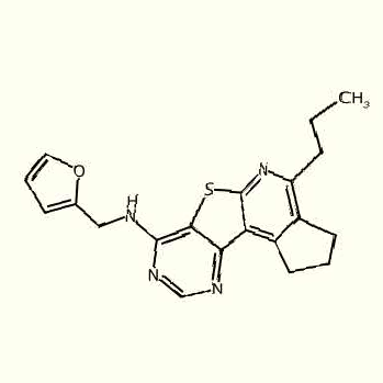 CCCc1nc2sc3c(NCc4ccco4)ncnc3c2c2c1CCC2